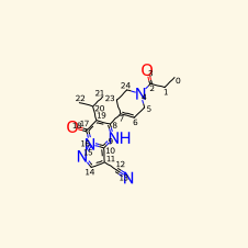 CCC(=O)N1CC=C(c2[nH]c3c(C#N)cnn3c(=O)c2C(C)C)CC1